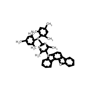 Cc1cc(C)c(B(c2nc(C)c(-n3c4ccccc4c4c5oc6ccccc6c5ccc43)c(C)n2)c2c(C)cc(C)cc2C)c(C)c1